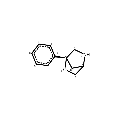 c1ccc([C@]23CNC(CO2)C3)cc1